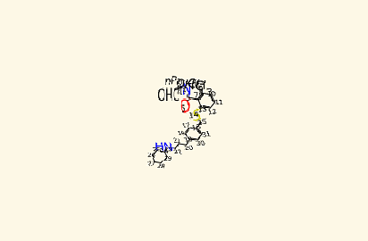 CCCC(C=O)N(C)C(=O)c1c(C=O)cccc1SCc1ccc(CCCNC2CCCCC2)cc1